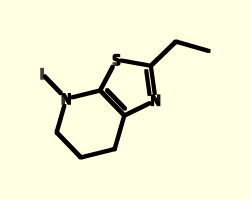 CCc1nc2c(s1)N(I)CCC2